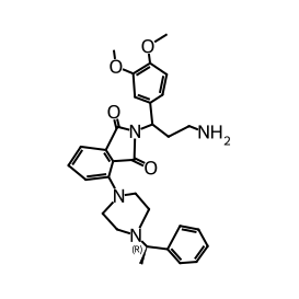 COc1ccc(C(CCN)N2C(=O)c3cccc(N4CCN([C@H](C)c5ccccc5)CC4)c3C2=O)cc1OC